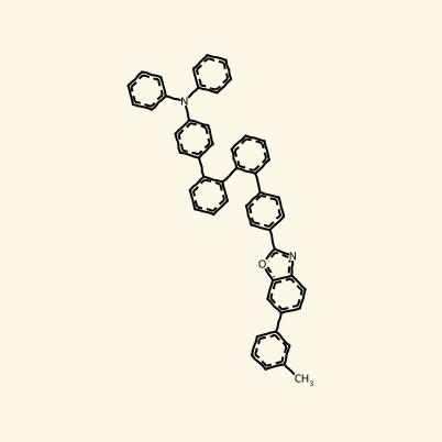 Cc1cccc(-c2ccc3nc(-c4ccc(-c5ccccc5-c5ccccc5-c5ccc(N(c6ccccc6)c6ccccc6)cc5)cc4)oc3c2)c1